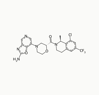 C[C@H]1c2c(Cl)cc(C(F)(F)F)cc2CCN1C(=O)[C@H]1CN(c2cncc3nc(N)oc23)CCO1